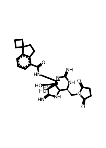 N=C1NC2[C@H](CN3C(=O)CCC3=O)NC(=N)N3CC(NC(=O)c4cccc5c4CCC54CCC4)C(O)(O)C23N1